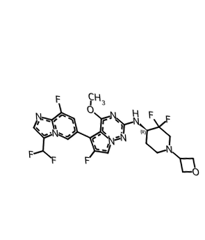 COc1nc(N[C@@H]2CCN(C3COC3)CC2(F)F)nn2cc(F)c(-c3cc(F)c4ncc(C(F)F)n4c3)c12